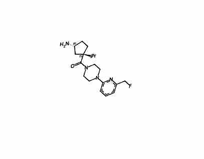 CC(C)[C@]1(C(=O)N2CCN(c3cccc(CF)n3)CC2)CC[C@@H](N)C1